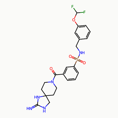 N=C1NCC2(CCN(C(=O)c3cccc(S(=O)(=O)NCc4cccc(OC(F)F)c4)c3)CC2)N1